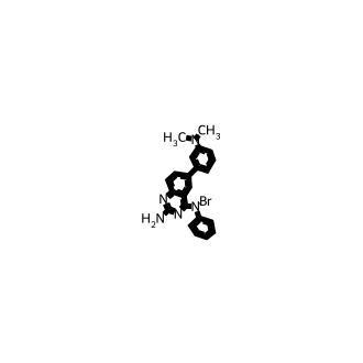 CN(C)c1cccc(-c2ccc3nc(N)nc(N(Br)c4ccccc4)c3c2)c1